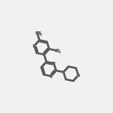 Nc1cc(C(F)(F)F)c(-c2ccnc(N3CCOCC3)n2)cn1